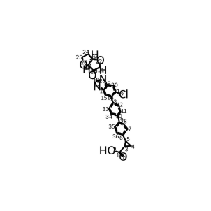 O=C(O)C1CC1c1ccc(-c2ccc(-c3cc4nc(OC5CO[C@@H]6CCO[C@H]56)[nH]c4cc3Cl)cc2)cc1